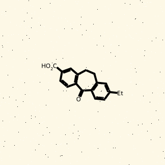 CCc1ccc2c(c1)CCc1cc(C(=O)O)ccc1C2=O